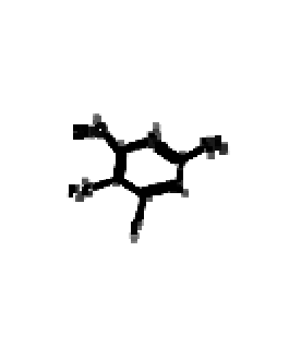 COc1nc(N)nc(F)c1C(F)(F)F